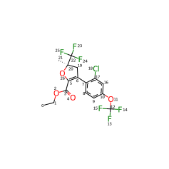 CCOC(=O)C1=C(c2ccc(OC(F)(F)F)cc2Cl)C[C@](C)(C(F)(F)F)O1